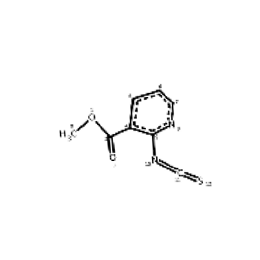 COC(=O)c1cccnc1N=C=S